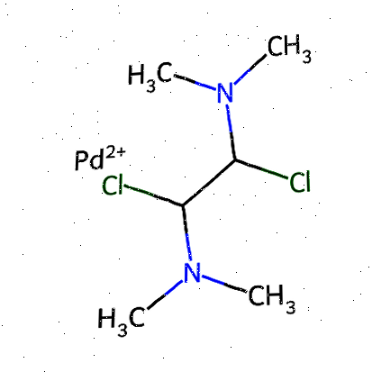 CN(C)C(Cl)C(Cl)N(C)C.[Pd+2]